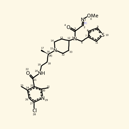 CO/N=C/C(=O)N(Cc1ccsc1)C1CCN([C@H](C)CCNC(=O)c2c(C)cc(Cl)nc2C)CC1